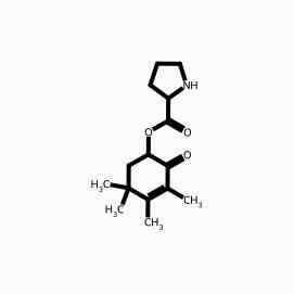 CC1=C(C)C(C)(C)CC(OC(=O)C2CCCN2)C1=O